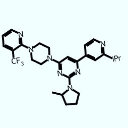 CC(C)c1cc(-c2cc(N3CCN(c4ncccc4C(F)(F)F)CC3)nc(N3CCCC3C)n2)ccn1